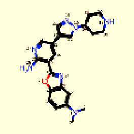 CN(C)c1ccc2oc(-c3cc(-c4cnn(C5CCNCC5)c4)cnc3N)nc2c1